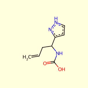 C=CCC(NC(=O)O)c1cc[nH]n1